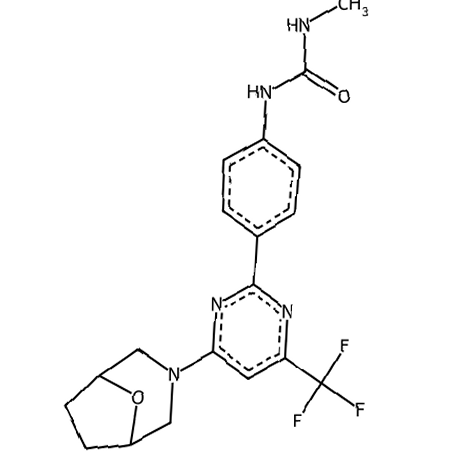 CNC(=O)Nc1ccc(-c2nc(N3CC4CCC(C3)O4)cc(C(F)(F)F)n2)cc1